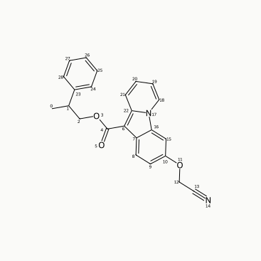 CC(COC(=O)c1c2ccc(OCC#N)cc2n2ccccc12)c1ccccc1